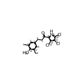 Cc1cc(CCC(=O)c2[nH]c(Cl)c(Cl)c2Cl)cc(C)c1O